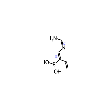 C=C/C(=C\N=C/N)B(O)O